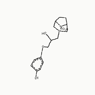 N#Cc1ccc(OCC(O)CN2CC3CCC(C2)N3C(=O)O)cc1